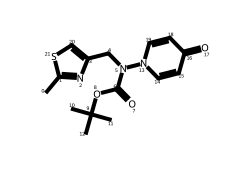 Cc1nc(CN(C(=O)OC(C)(C)C)n2ccc(=O)cc2)cs1